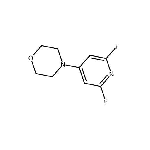 Fc1cc(N2CCOCC2)cc(F)n1